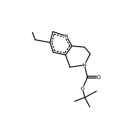 CCc1cnc2c(c1)CN(C(=O)OC(C)(C)C)CC2